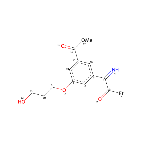 CCC(=O)C(=N)c1cc(OCCCO)cc(C(=O)OC)c1